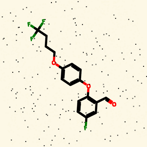 O=Cc1cc(F)ccc1Oc1ccc(OCCCC(F)(F)F)cc1